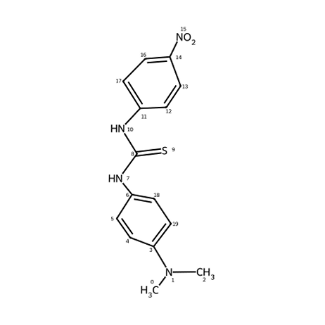 CN(C)c1ccc(NC(=S)Nc2ccc([N+](=O)[O-])cc2)cc1